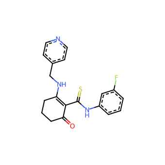 O=C1CCCC(NCc2ccncc2)=C1C(=S)Nc1cccc(F)c1